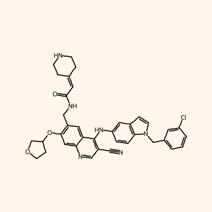 N#Cc1cnc2cc(OC3CCOC3)c(CNC(=O)C=C3CCNCC3)cc2c1Nc1ccc2c(ccn2Cc2cccc(Cl)c2)c1